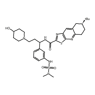 CN(C)S(=O)(=O)Nc1cccc(C(CCN2CCC(O)CC2)NC(=O)c2nc3cc4c(nc3s2)CC[C@H](C(C)(C)C)C4)c1